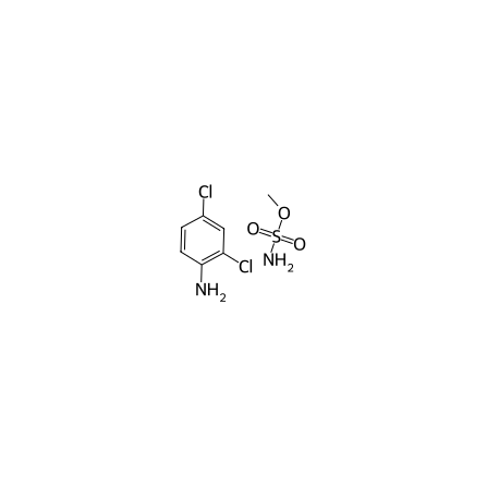 COS(N)(=O)=O.Nc1ccc(Cl)cc1Cl